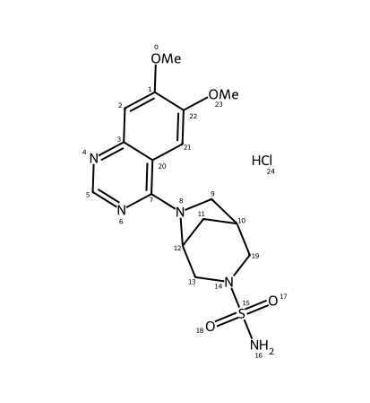 COc1cc2ncnc(N3CC4CC3CN(S(N)(=O)=O)C4)c2cc1OC.Cl